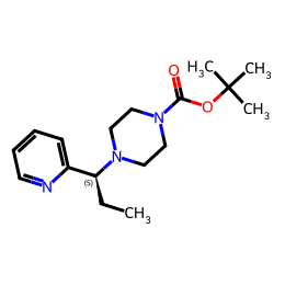 CC[C@@H](c1ccccn1)N1CCN(C(=O)OC(C)(C)C)CC1